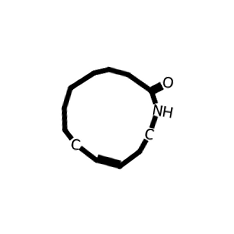 O=C1CCCCCCC/C=C\CCN1